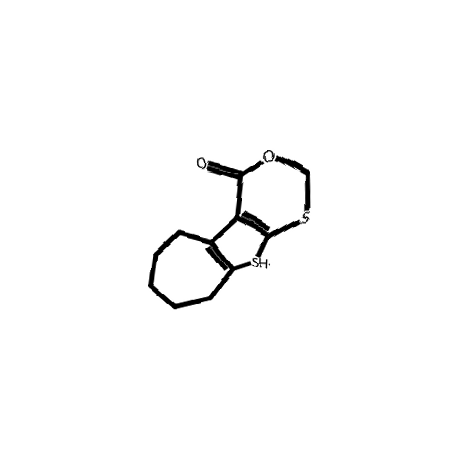 O=C1OCSC2=C1C1=C(CCCCC1)[SH]2